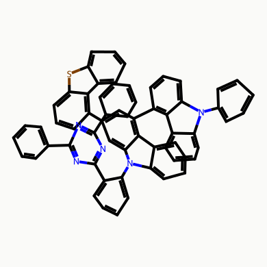 C1=CCC(c2nc(-c3ccccc3)nc(-c3ccccc3-n3c4ccccc4c4c(-c5cccc6c5c5ccccc5n6-c5ccccc5)cc(-c5cccc6sc7ccccc7c56)cc43)n2)C=C1